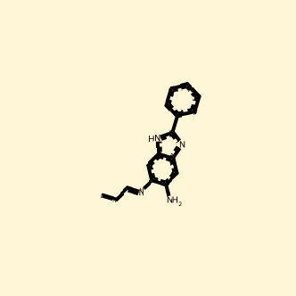 CC/C=N/c1cc2[nH]c(-c3ccccc3)nc2cc1N